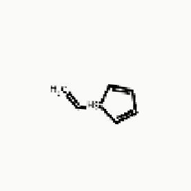 C=C[SiH]1C=CC=C1